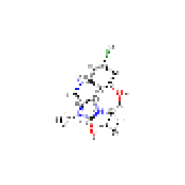 Cn1c(=O)n2c3c4c(cc(F)cc4ncc31)OCC21CCC1